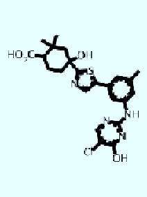 Cc1cc(Nc2ncc(Cl)c(O)n2)cc(-c2cnc(C3(O)CCC(C(=O)O)C(C)(C)C3)s2)c1